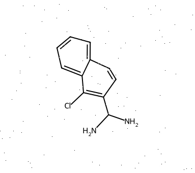 NC(N)c1ccc2ccccc2c1Cl